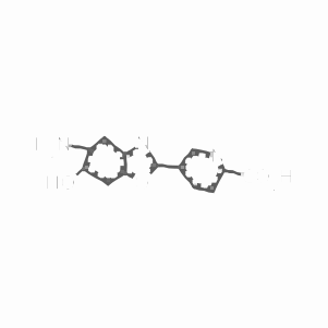 Nc1cc2nc(-c3ccc(C(=O)O)nc3)oc2cc1O